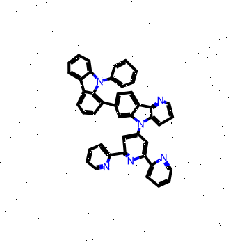 c1ccc(-n2c3ccccc3c3cccc(-c4ccc5c6ncccc6n(-c6cc(-c7ccccn7)nc(-c7ccccn7)c6)c5c4)c32)cc1